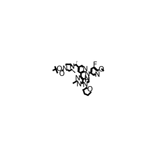 COc1ncc(Nc2ncc([C@@H](C)N3CCN(C(=O)OC(C)(C)C)C[C@@H]3C)cc2-c2nc(C)nc3c2ncn3C2CCCCO2)cc1F